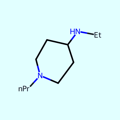 CCCN1CCC(NCC)CC1